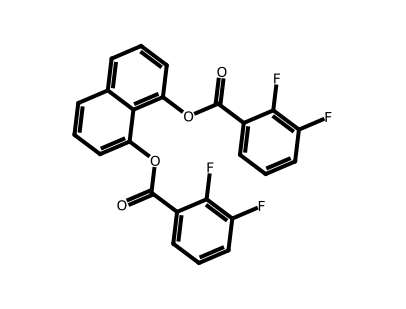 O=C(Oc1cccc2cccc(OC(=O)c3cccc(F)c3F)c12)c1cccc(F)c1F